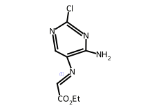 CCOC(=O)/C=N/c1cnc(Cl)nc1N